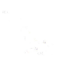 Cc1ccc(-c2csc(/C=C3\S/C(=N/c4ccccc4)N(C)C3=O)c2)cc1